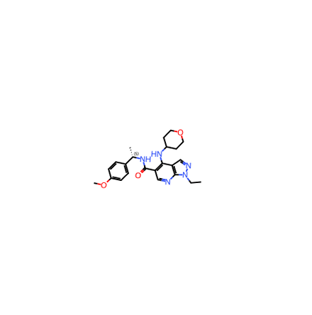 CCn1ncc2c(NC3CCOCC3)c(C(=O)N[C@@H](C)c3ccc(OC)cc3)cnc21